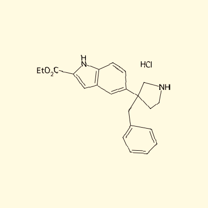 CCOC(=O)c1cc2cc(C3(Cc4ccccc4)CCNC3)ccc2[nH]1.Cl